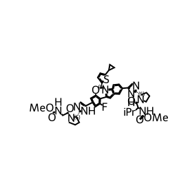 COC(=O)NCC(=O)N1CCC[C@H]1c1ncc(-c2cc(F)c3c(c2)O[C@@H](c2ccc(C4CC4)s2)n2c-3cc3cc(-c4cnc([C@@H]5CCCN5C(=O)C(NC(=O)OC)C(C)C)[nH]4)ccc32)[nH]1